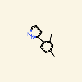 Cc1ccc(-c2cc[c]nn2)c(C)c1